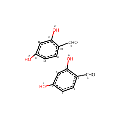 O=Cc1ccc(O)cc1O.O=Cc1ccc(O)cc1O